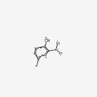 CCN(CC)c1nc(C)ccc1C#N